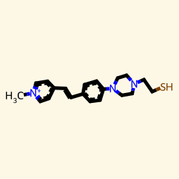 C[n+]1ccc(/C=C/c2ccc(N3CCN(CCS)CC3)cc2)cc1